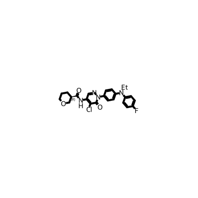 CCN(c1ccc(F)cc1)c1ccc(-n2ncc(NC(=O)[C@@H]3CCCOC3)c(Cl)c2=O)cc1